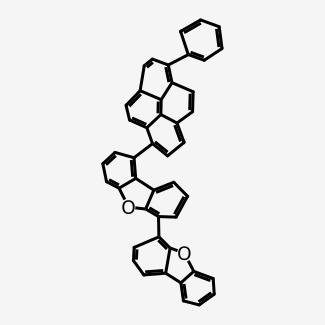 c1ccc(-c2ccc3ccc4c(-c5cccc6oc7c(-c8cccc9c8oc8ccccc89)cccc7c56)ccc5ccc2c3c54)cc1